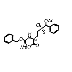 COC(=O)[C@H](CCP(=S)(Cl)C(OC(C)=O)c1ccccc1)NC(=O)OCc1ccccc1